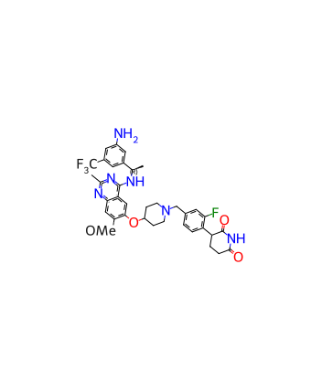 COc1cc2nc(C)nc(N[C@H](C)c3cc(N)cc(C(F)(F)F)c3)c2cc1OC1CCN(Cc2ccc(C3CCC(=O)NC3=O)c(F)c2)CC1